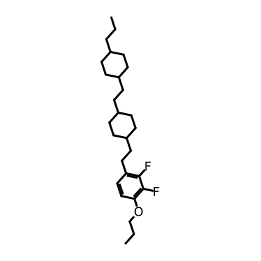 CCCOc1ccc(CCC2CCC(CCC3CCC(CCC)CC3)CC2)c(F)c1F